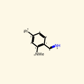 CNc1cc(C(C)C)ccc1C=N